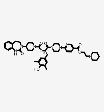 Cc1cc(C[C@@H](OC(=O)N2CCC(N3CCc4ccccc4NC3=O)CC2)C(=O)N2CCN(c3ccc(C(=O)OCCN4CCCCC4)cn3)CC2)cc(C)c1O